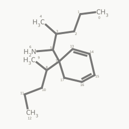 CCCC(C)C(N)C1(C(C)CCC)C=CC=[C]C1